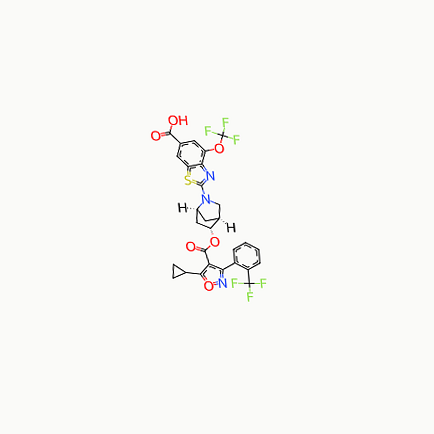 O=C(O)c1cc(OC(F)(F)F)c2nc(N3C[C@@H]4C[C@H]3C[C@H]4OC(=O)c3c(-c4ccccc4C(F)(F)F)noc3C3CC3)sc2c1